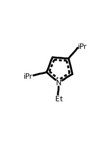 CCn1cc(C(C)C)cc1C(C)C